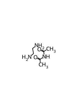 CC(=O)NC(C)=O.NCCN